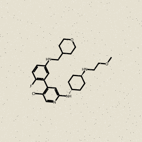 COCCN[C@H]1CC[C@H](Nc2cc(-c3cc(NCC4CCOCC4)ccc3F)c(Cl)cn2)CC1